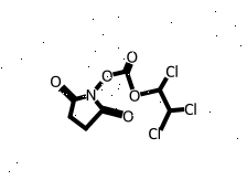 O=C(OC(Cl)C(Cl)Cl)ON1C(=O)CCC1=O